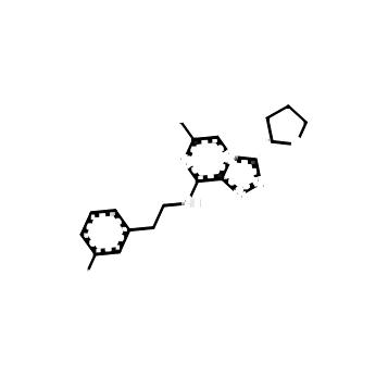 Fc1cccc(CCNc2nc(Cl)cn3c([C@@H]4CCCS4)nnc23)c1